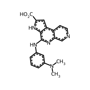 CN(C)c1cccc(Nc2nc3cnccc3c3cc(C(=O)O)[nH]c23)c1